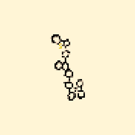 c1ccc2c(c1)-c1ccccc1C21c2ccccc2-c2ccc(-c3ccc4cc(-c5ccc(-c6cccc7c6sc6ccccc67)cc5)c5ccccc5c4c3)cc21